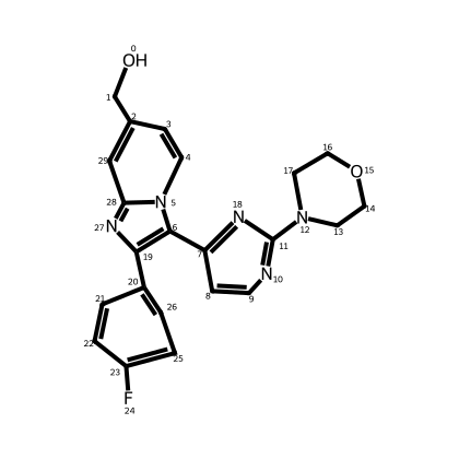 OCc1ccn2c(-c3ccnc(N4CCOCC4)n3)c(-c3ccc(F)cc3)nc2c1